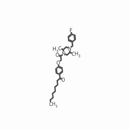 CCCCCCCCC(=O)c1ccc(OCC(=O)N2CC(C)N(Cc3ccc(F)cc3)CC2C)cc1